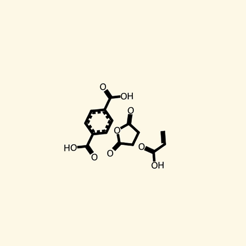 C=CC(=O)O.O=C(O)c1ccc(C(=O)O)cc1.O=C1CCC(=O)O1